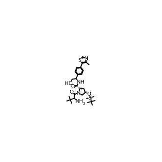 Cc1ncsc1-c1ccc(C(CO)NC(=O)[C@@H]2C[C@@H](O[Si](C)(C)C(C)(C)C)CN2C(=O)C(N)C(C)(C)C)cc1